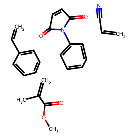 C=C(C)C(=O)OC.C=CC#N.C=Cc1ccccc1.O=C1C=CC(=O)N1c1ccccc1